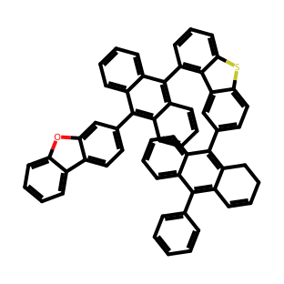 C1=Cc2c(c(-c3ccc4sc5cccc(-c6c7ccccc7c(-c7ccc8c(c7)oc7ccccc78)c7ccccc67)c5c4c3)c3ccccc3c2-c2ccccc2)CC1